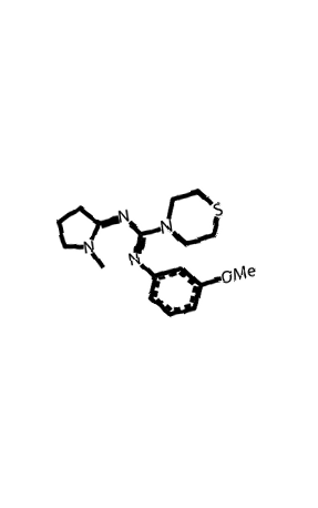 COc1cccc(N=C(N=C2CCCN2C)N2CCSCC2)c1